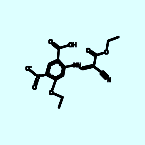 CCOC(=O)C(C#N)=CNc1cc(OCC)c([N+](=O)[O-])cc1C(=O)O